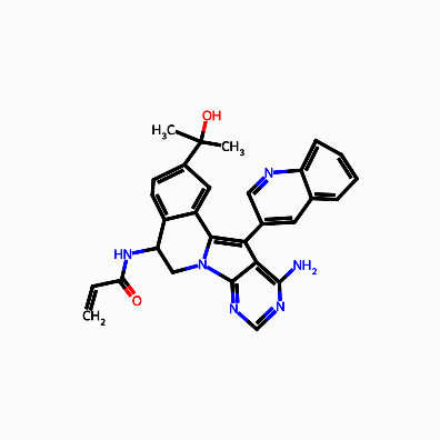 C=CC(=O)NC1Cn2c(c(-c3cnc4ccccc4c3)c3c(N)ncnc32)-c2cc(C(C)(C)O)ccc21